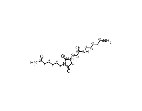 CC(=O)CCCCCN1C(=O)CC(SCC(=O)NCCCCCN)C1=O